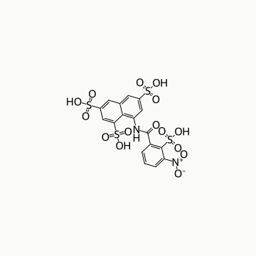 O=C(Nc1cc(S(=O)(=O)O)cc2cc(S(=O)(=O)O)cc(S(=O)(=O)O)c12)c1cccc([N+](=O)[O-])c1S(=O)(=O)O